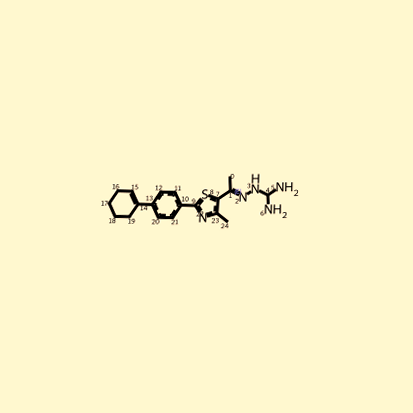 C/C(=N\NC(N)N)c1sc(-c2ccc(C3=CCCCC3)cc2)nc1C